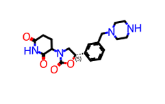 O=C1CCC(N2C[C@H](c3cccc(CN4CCNCC4)c3)OC2=O)C(=O)N1